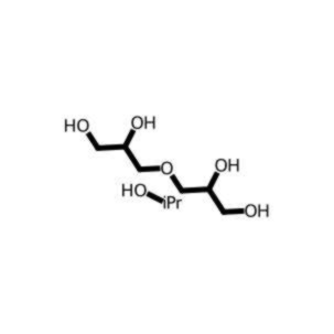 CC(C)O.OCC(O)COCC(O)CO